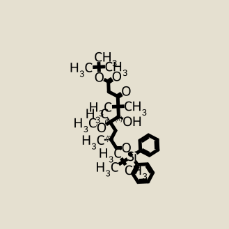 CO[C@](C)(C[C@@H](C)CO[Si](c1ccccc1)(c1ccccc1)C(C)(C)C)[C@H](O)C(C)(C)C(=O)CC(=O)OC(C)(C)C